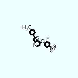 [CH2]c1ccc(-c2cc3nccc(Oc4ccc([N+](=O)[O-])cc4F)c3s2)cc1